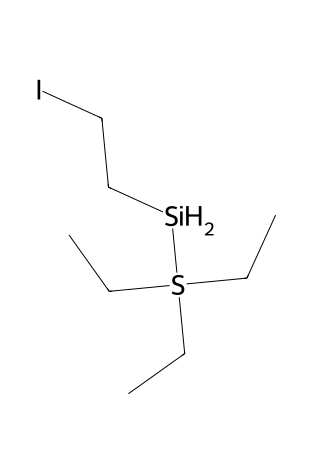 CCS(CC)(CC)[SiH2]CCI